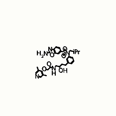 Cc1cncc(C)c1OCC(=O)NCC(O)CCc1cccc(N(CC(C)C)S(=O)(=O)c2ccc3nc(N)oc3c2)c1